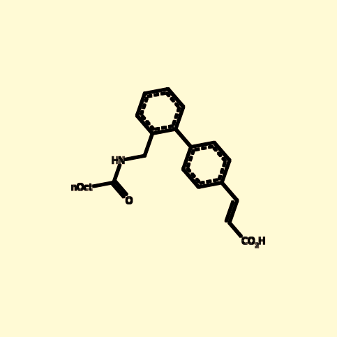 CCCCCCCCC(=O)NCc1ccccc1-c1ccc(C=CC(=O)O)cc1